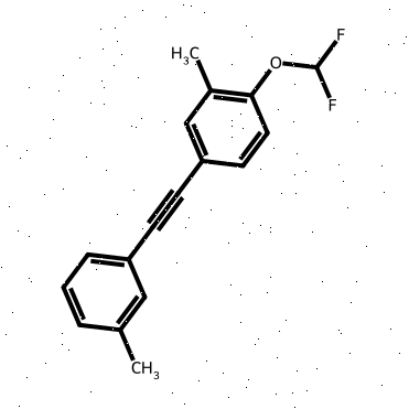 Cc1cccc(C#Cc2ccc(OC(F)F)c(C)c2)c1